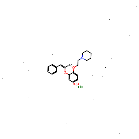 CC(=O)C(=Cc1ccccc1)Oc1ccccc1OCCN1CCCCC1.Cl.O